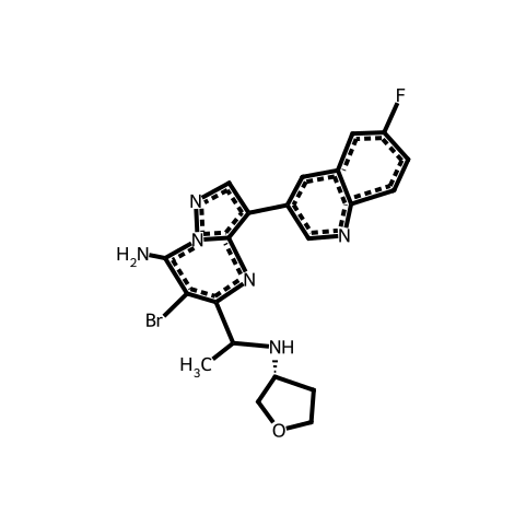 CC(N[C@@H]1CCOC1)c1nc2c(-c3cnc4ccc(F)cc4c3)cnn2c(N)c1Br